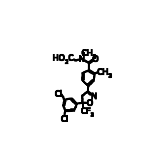 Cc1cc(C2=NOC(c3cc(Cl)cc(Cl)c3)(C(F)(F)F)C2)ccc1C(=O)N(C)CC(=O)O